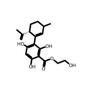 C=C(C)[C@@H]1CCC(C)C=C1c1c(O)cc(O)c(C(=O)OCCO)c1O